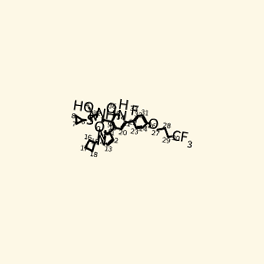 O=C(NN(O)SC1CC1)c1c(-c2ccn(C3CCC3)n2)cc(-c2ccc(OCCCC(F)(F)F)cc2F)[nH]c1=O